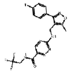 Cc1onc(-c2ccc(F)cc2)c1CNc1ccc(C(=O)NCC(F)(F)F)nn1